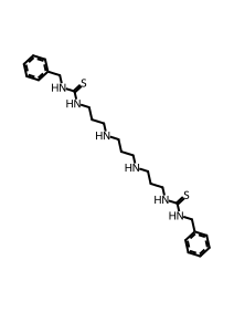 S=C(NCCCNCCCNCCCNC(=S)NCc1ccccc1)NCc1ccccc1